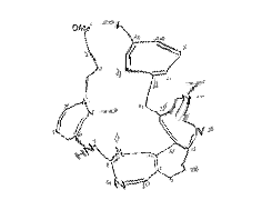 COCCn1ccc(Nc2ncc3c(n2)-c2c(nn(C)c2Cc2cccc(I)c2)CC3)n1